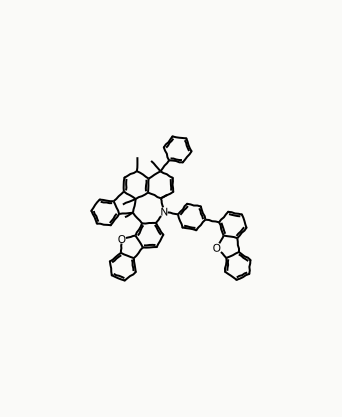 CC1C=C2c3ccccc3C3(C)c4c(ccc5c4oc4ccccc45)N(c4ccc(-c5cccc6c5oc5ccccc56)cc4)C4(C)C=CC(C)(c5ccccc5)C1=C4C23C